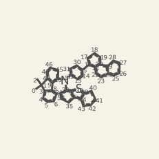 CC1(C)c2ccccc2-c2c(N(c3ccc(-c4cccc5c4ccc4ccccc45)cc3)c3cccc4c3sc3ccccc34)cccc21